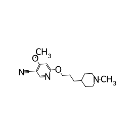 COc1cc(OCCCC2CCN(C)CC2)ncc1C#N